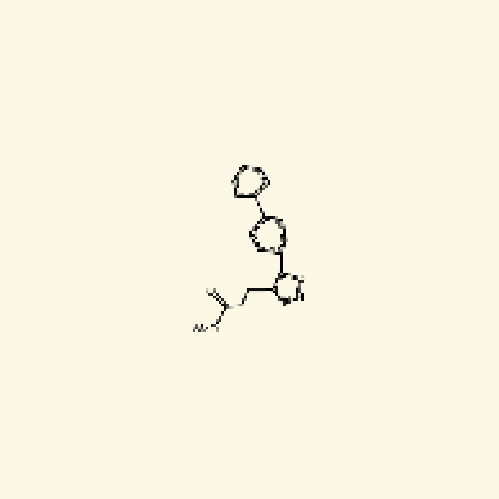 COC(=O)CCc1cnoc1-c1ccc(-c2ccccc2)cc1